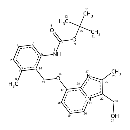 Cc1cccc(NC(=O)OC(C)(C)C)c1COc1cccn2c(CO)c(C)nc12